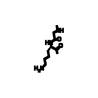 CNCC(=O)N[C@@H](CCCCN)C(C)=O